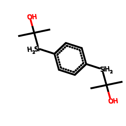 CC(C)(O)[SiH2]c1ccc([SiH2]C(C)(C)O)cc1